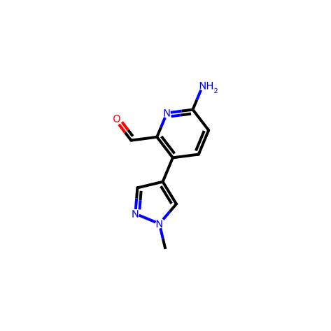 Cn1cc(-c2ccc(N)nc2C=O)cn1